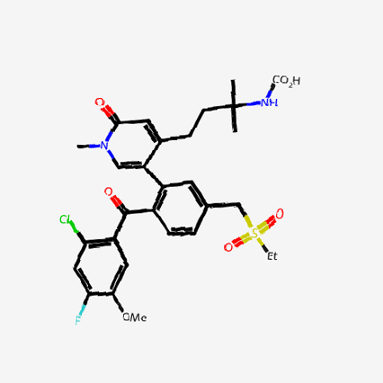 CCS(=O)(=O)Cc1ccc(C(=O)c2cc(OC)c(F)cc2Cl)c(-c2cn(C)c(=O)cc2CCC(C)(C)NC(=O)O)c1